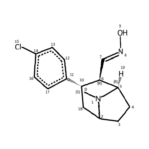 CN1C2CC[C@@H]1[C@H](C=NO)[C@@H](c1ccc(Cl)cc1)C2